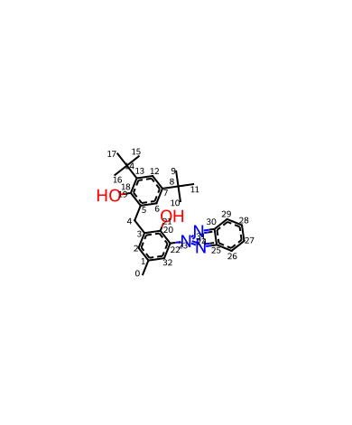 Cc1cc(Cc2cc(C(C)(C)C)cc(C(C)(C)C)c2O)c(O)c(-n2n3c4ccccc4n23)c1